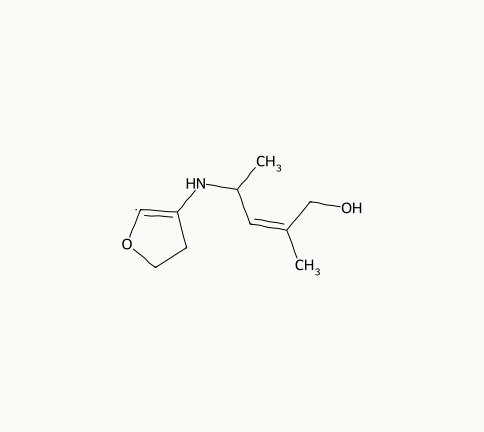 C/C(=C/C(C)NC1=[C]OCC1)CO